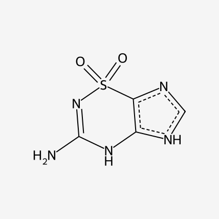 NC1=NS(=O)(=O)c2nc[nH]c2N1